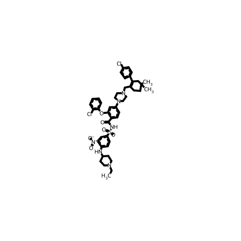 CCN1CCC(Nc2ccc(S(=O)(=O)NC(=O)c3ccc(N4CCN(CC5=C(c6ccc(Cl)cc6)CC(C)(C)CC5)CC4)cc3Oc3ccccc3Cl)cc2[N+](=O)[O-])CC1